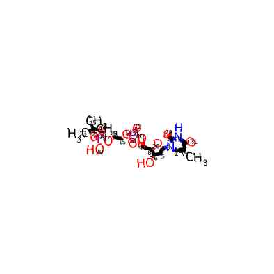 Cc1cn(C2CC(O)C(COP(=O)(O)OCCOP(=O)(O)OC(C)(C)C)O2)c(=O)[nH]c1=O